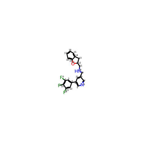 Fc1cc(-c2cncc(CNCC3Cc4ccccc4O3)c2)cc(F)c1F